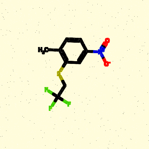 Cc1ccc([N+](=O)[O-])cc1SCC(F)(F)F